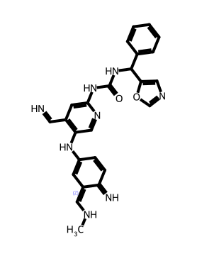 CN/C=C1/C=C(Nc2cnc(NC(=O)NC(c3ccccc3)c3cnco3)cc2C=N)C=CC1=N